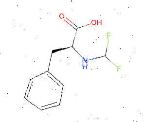 O=C(O)[C@H](Cc1ccccc1)NC(F)F